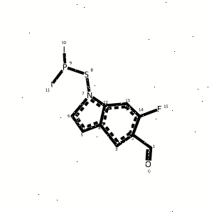 O=Cc1cc2ccn(SP(I)I)c2cc1F